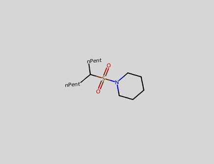 CCCCCC(CCCCC)S(=O)(=O)N1CCCCC1